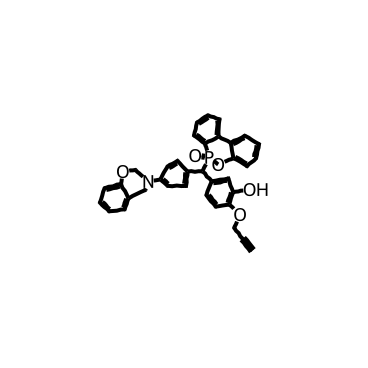 C#CCOc1ccc(C(c2ccc(N3COc4ccccc4C3)cc2)P2(=O)Oc3ccccc3-c3ccccc32)cc1O